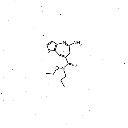 CCCN(OCC)C(=O)C1=Cc2sccc2N=C(N)C1